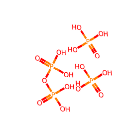 O=P(O)(O)O.O=P(O)(O)O.O=P(O)(O)OP(=O)(O)O